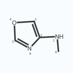 CNc1co[c]n1